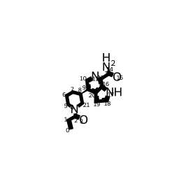 C=CC(=O)N1CCC[C@@H](c2cnc(C(N)=O)c3[nH]ccc23)C1